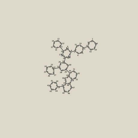 c1ccc(-c2ccc(-c3nc(-c4ccccc4)nc(-c4cc(-c5ccccc5)cc(-c5cccc6c5sc5c(-c7ccccc7)cccc56)c4)n3)cc2)cc1